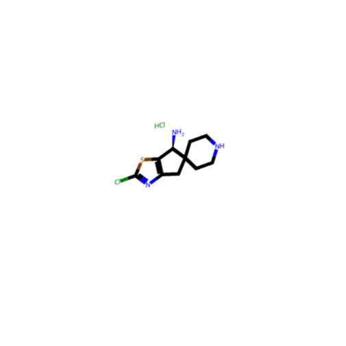 Cl.N[C@@H]1c2sc(Cl)nc2CC12CCNCC2